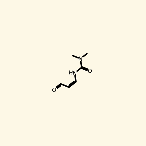 CN(C)C(=O)N/C=C\C=O